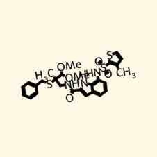 COC(OC)C(C)(CNC(=O)c1cc2cccc(NS(=O)(=O)c3sccc3C)c2[nH]1)SCc1ccccc1